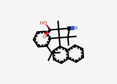 CC(C)c1ccccc1C(c1cccc2ccccc12)(C(C)(C)C)C(C)(C#N)C(=O)O